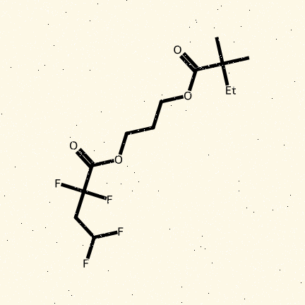 CCC(C)(C)C(=O)OCCCOC(=O)C(F)(F)CC(F)F